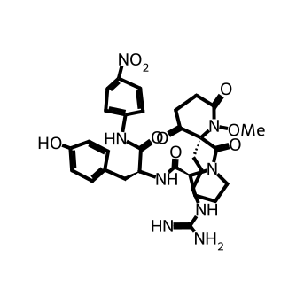 CON1C(=O)CCC(=O)[C@]1(CCCNC(=N)N)C(=O)N1CCC[C@H]1C(=O)N[C@@H](Cc1ccc(O)cc1)C(=O)Nc1ccc([N+](=O)[O-])cc1